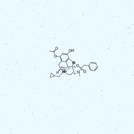 CC(=O)Oc1cc(O)c2c3c1C[C@@H]1[C@@H]4CC[C@@H](N(C)S(=O)(=O)Cc5ccccc5)[C@H](O2)[C@]34CCN1CC1CC1